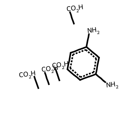 CC(=O)O.CC(=O)O.CC(=O)O.CC(=O)O.Nc1cccc(N)c1